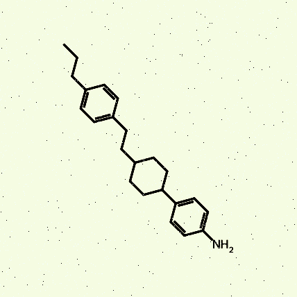 CCCc1ccc(CCC2CCC(c3ccc(N)cc3)CC2)cc1